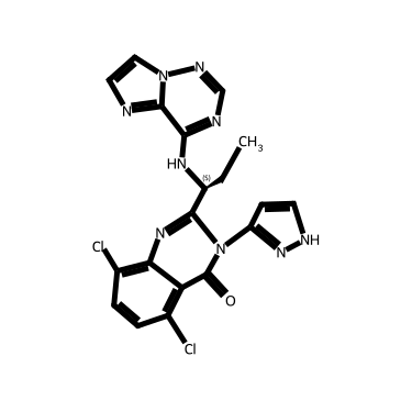 CC[C@H](Nc1ncnn2ccnc12)c1nc2c(Cl)ccc(Cl)c2c(=O)n1-c1cc[nH]n1